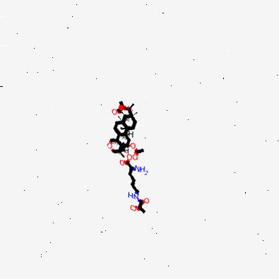 CC(=O)O[C@@H]1C[C@@]23COC[C@](C)([C@@H]2CC[C@H]2C3=CC[C@@]3(C)[C@H](C(=O)O)[C@@](C)([C@H](C)C(C)C)CC[C@]23C)[C@H]1OC(=O)C(N)CCCCNC(=O)C(C)=O